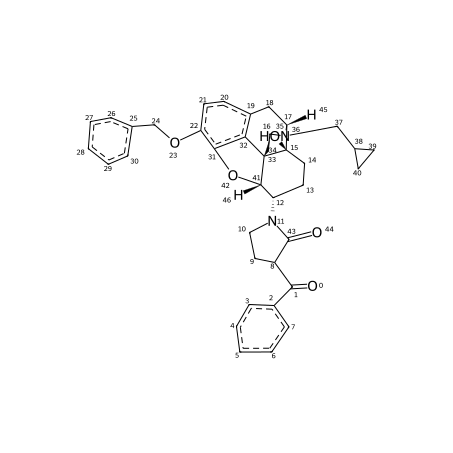 O=C(c1ccccc1)C1CCN([C@H]2CC[C@@]3(O)[C@H]4Cc5ccc(OCc6ccccc6)c6c5[C@@]3(CCN4CC3CC3)[C@H]2O6)C1=O